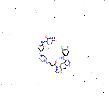 COc1cc2ncnc(Nc3ccc(F)c(Cl)c3)c2cc1NC(=O)/C=C/CN1CCN(Cc2ccc(NC3CCC(=O)NC3=O)cc2)CC1